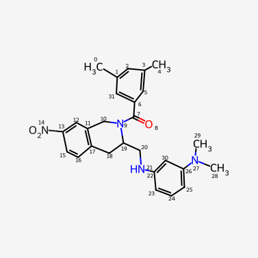 Cc1cc(C)cc(C(=O)N2Cc3cc([N+](=O)[O-])ccc3CC2CNc2cccc(N(C)C)c2)c1